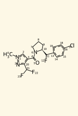 Cn1cc(C(=O)N2CCC[C@H]2C(F)c2ccc(Cl)cc2)c(C(F)F)n1